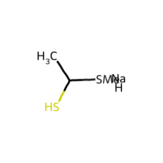 CSC(C)S.[NaH]